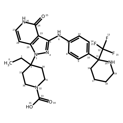 CCC1(n2nc(Nc3ccc(C4(C(F)(F)F)CCCCN4)cc3)c3c(=O)[nH]ccc32)CCN(C(=O)O)CC1